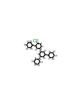 Clc1ccc(-c2cc(-c3ccccc3)cc(-c3ccccc3)c2)cc1-c1ccccc1